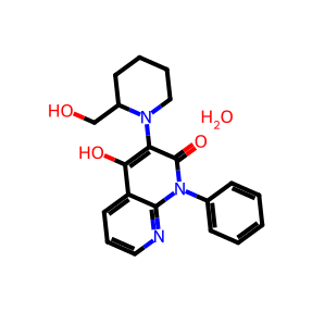 O.O=c1c(N2CCCCC2CO)c(O)c2cccnc2n1-c1ccccc1